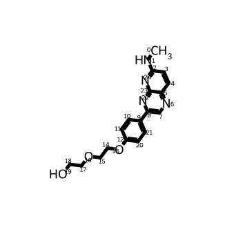 CNc1ccc2ncc(-c3ccc(OCCOCCO)cc3)nc2n1